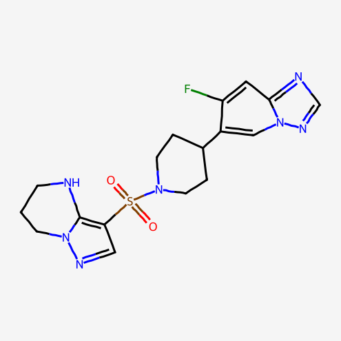 O=S(=O)(c1cnn2c1NCCC2)N1CCC(c2cn3ncnc3cc2F)CC1